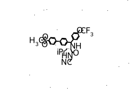 CC(C)C[C@H](N[C@H](c1ccc(OC(F)(F)F)cc1)c1ccc(-c2ccc(S(C)(=O)=O)cc2)cc1)C(=O)NCC#N